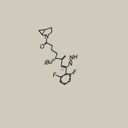 C=C(/C=C(\N=N)c1c(F)cccc1F)C(CCCC(=O)N1CCC2CC21)[C@@H](C)CC